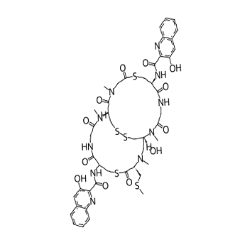 CSC[C@H]1C(=O)SCC(NC(=O)c2nc3ccccc3cc2O)C(=O)NCC(=O)N(C)[C@H]2CSSC[C@@H]([C@H](O)N1C)N(C)C(=O)CNC(=O)[C@H](NC(=O)c1nc3ccccc3cc1O)CSC(=O)CN(C)C2=O